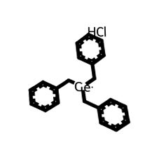 Cl.c1ccc([CH2][Ge]([CH2]c2ccccc2)[CH2]c2ccccc2)cc1